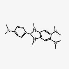 CN(C)c1ccc(C2N(C)c3cc(N(C)C)c(N(C)C)cc3N2C)cc1